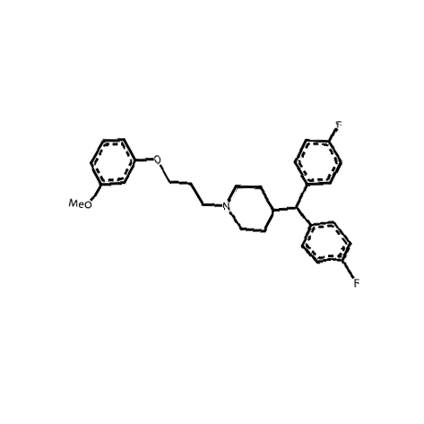 COc1cccc(OCCCN2CCC(C(c3ccc(F)cc3)c3ccc(F)cc3)CC2)c1